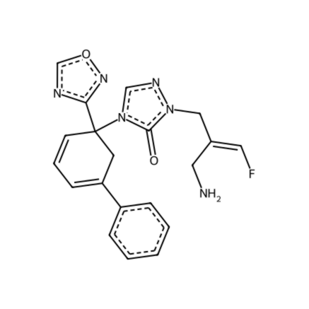 NC/C(=C\F)Cn1ncn(C2(c3ncon3)C=CC=C(c3ccccc3)C2)c1=O